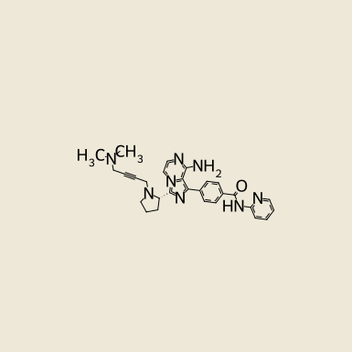 CN(C)CC#CCN1CCC[C@H]1c1nc(-c2ccc(C(=O)Nc3ccccn3)cc2)c2c(N)nccn12